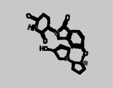 O=C1CCC(N2Cc3cc(O[C@H]4CCCC4N4CCC(O)C4)ccc3C2=O)C(=O)N1